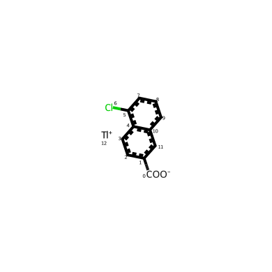 O=C([O-])c1ccc2c(Cl)cccc2c1.[Tl+]